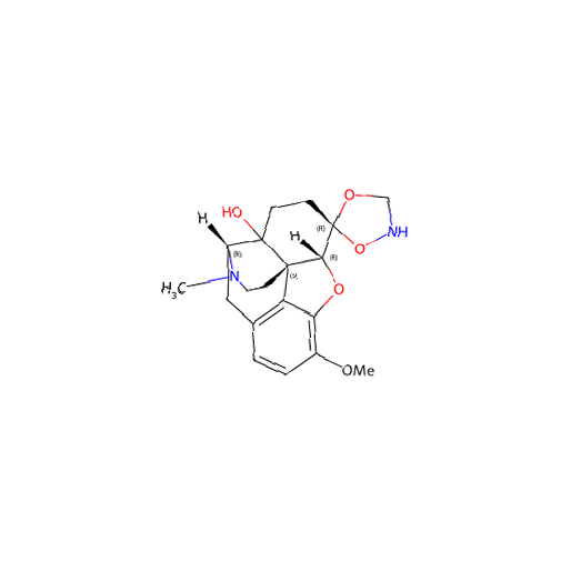 COc1ccc2c3c1O[C@H]1[C@]4(CCC5(O)[C@@H](C2)N(C)CC[C@]315)OCNO4